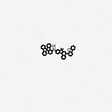 CC1(C)c2cc(Nc3cccc4c3-c3ccccc3C43c4ccccc4-c4ccccc43)ccc2-c2c1cc(-c1cccc3c1oc1ccccc13)c1ccccc21